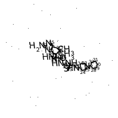 CC1(C)Cc2cnc(N)nc2-c2[nH]nc(C(=O)NC3NC(CNC4CCN(C5CCCCC5)CC4)=CS3)c21